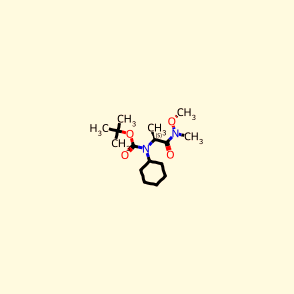 CON(C)C(=O)[C@H](C)N(C(=O)OC(C)(C)C)C1CCCCC1